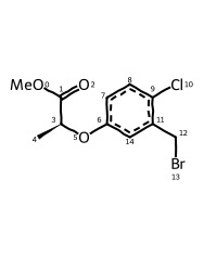 COC(=O)[C@H](C)Oc1ccc(Cl)c(CBr)c1